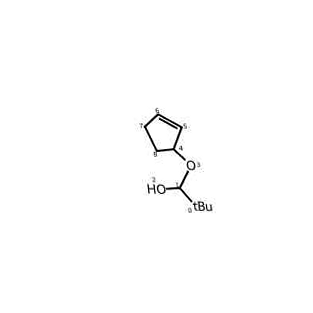 CC(C)(C)C(O)OC1C=CCC1